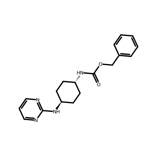 O=C(N[C@H]1CC[C@H](Nc2ncccn2)CC1)OCc1ccccc1